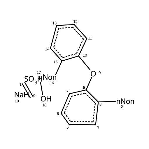 C=C.CCCCCCCCCc1ccccc1Oc1ccccc1CCCCCCCCC.O=S(=O)(O)O.[NaH]